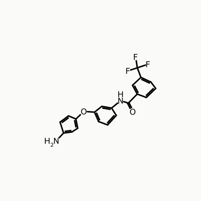 Nc1ccc(Oc2cccc(NC(=O)c3cccc(C(F)(F)F)c3)c2)cc1